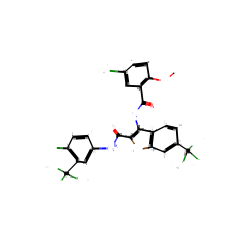 COc1ccc(Br)cc1C(=O)Nc1c(C(=O)Nc2ccc(F)c(C(F)(F)F)c2)sc2cc(C(F)(F)F)ccc12